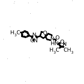 Cc1ccc(-c2nc(C3COC4(CCN(C(=O)Nc5onc(C)c5C)CC4)C3)no2)cc1